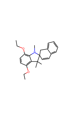 CCOc1ccc(OCC)c2c1N(C)C1(C=Cc3ccccc3C1)C2(C)C